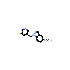 O=C(O)c1ccc2c(cnn2Cc2cncc(F)c2)c1